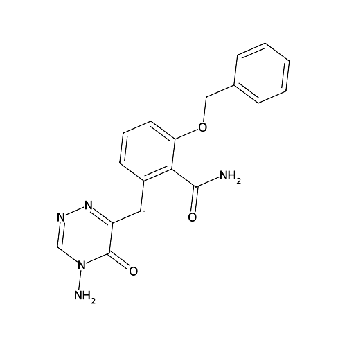 NC(=O)c1c([CH]c2nncn(N)c2=O)cccc1OCc1ccccc1